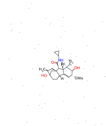 C=C1C[C@]23C[C@@]1(O)CC[C@H]2C1=C[C@@H](OC)[C@H](O)[C@@](C)(C(C)=O)[C@H]1[C@@H]3C(=O)NC1CC1